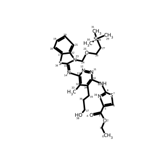 CCOC(=O)c1csc(Nc2nnc(N=c3sc4ccccc4n3COCC[Si](C)(C)C)c(C)c2CCCO)n1